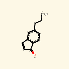 CCOC(=O)CCc1ccc2c(c1)C=CC2=O